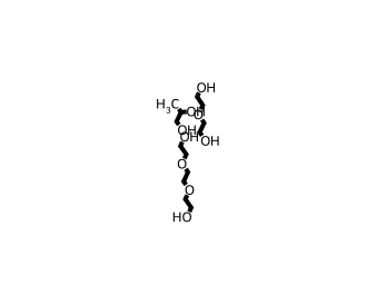 CC(O)CO.OCCOCCO.OCCOCCOCCO